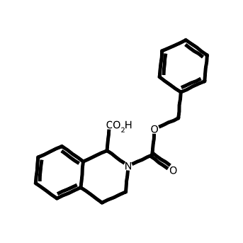 O=C(O)C1c2ccccc2CCN1C(=O)OCc1ccccc1